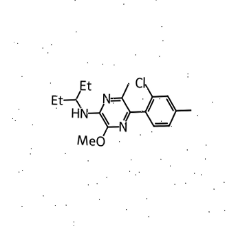 CCC(CC)Nc1nc(C)c(-c2ccc(C)cc2Cl)nc1OC